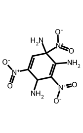 NC1=C([N+](=O)[O-])C(N)C([N+](=O)[O-])=CC1(N)[N+](=O)[O-]